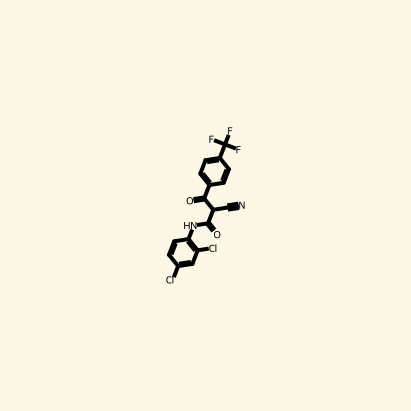 N#CC(C(=O)Nc1ccc(Cl)cc1Cl)C(=O)c1ccc(C(F)(F)F)cc1